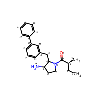 CC[C@H](C)C(=O)N1CCC(N)C1Cc1cccc(-c2ccccc2)c1